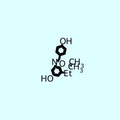 CC.CCc1cc(O)cc2nc(-c3ccc(O)cc3)oc12